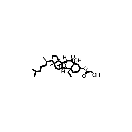 CC[C@]12CC[C@H](OC(=O)CO)C[C@]1(O)C(=O)[C@@H]1OC2[C@H]2CC[C@]3(C)[C@@H]([C@H](C)CCCC(C)C)CC[C@H]3[C@@H]21